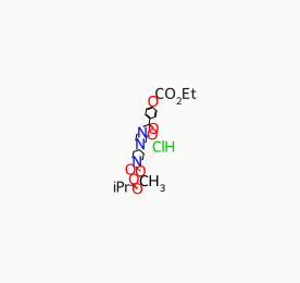 CCOC(=O)COc1ccc(C(=O)CN2CCN(C3CCN(C(=O)OC(C)OC(=O)C(C)C)CC3)CC2=O)cc1.Cl